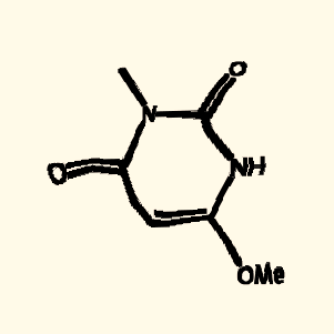 COc1cc(=O)n(C)c(=O)[nH]1